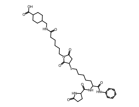 O=C(CCCCCN1C(=O)CC(SCCCCCC(NC(=O)C2CCC(=O)N2)C(=O)Nc2ccccc2)C1=O)NCC1CCC(C(=O)O)CC1